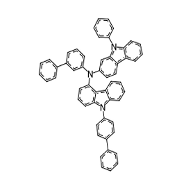 c1ccc(-c2ccc(-n3c4ccccc4c4c(N(c5cccc(-c6ccccc6)c5)c5ccc6c7ccccc7n(-c7ccccc7)c6c5)cccc43)cc2)cc1